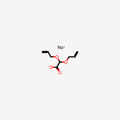 C=CCOC(OCC=C)C(=O)[O-].[Na+]